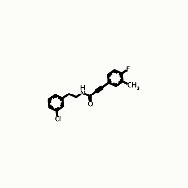 Cc1cc(C#CC(=O)NCCc2cccc(Cl)c2)ccc1F